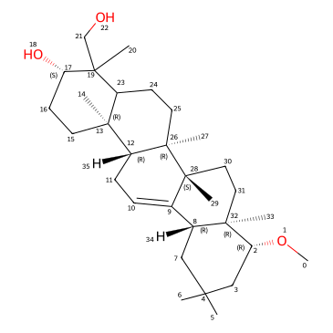 CO[C@@H]1CC(C)(C)C[C@@H]2C3=CC[C@@H]4[C@@]5(C)CC[C@H](O)C(C)(CO)C5CC[C@@]4(C)[C@]3(C)CC[C@]21C